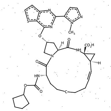 Cn1nccc1-c1nc(O[C@@H]2C[C@H]3C(=O)N[C@]4(C(=O)O)C[C@H]4C=CCCCCC[C@H](NC(=O)OC4CCCC4)C(=O)N3C2)c2sccc2n1